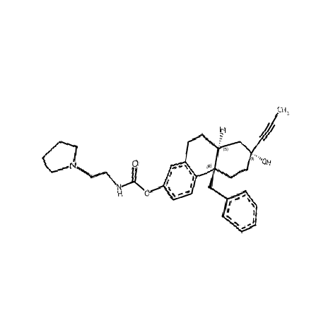 CC#C[C@@]1(O)CC[C@]2(Cc3ccccc3)c3ccc(OC(=O)NCCN4CCCC4)cc3CC[C@H]2C1